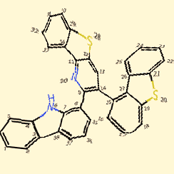 c1ccc2c(c1)[nH]c1c(-c3nc4c(cc3-c3cccc5sc6ccccc6c35)sc3ccccc34)cccc12